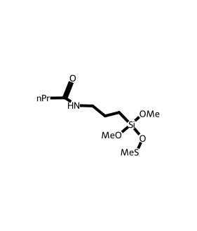 CCCC(=O)NCCC[Si](OC)(OC)OSC